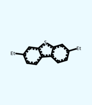 CCc1ccc2c(c1)sc1cc(CC)ccc12